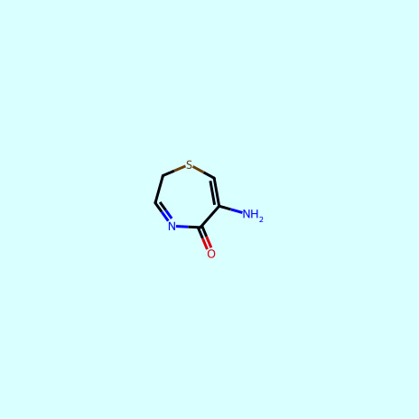 NC1=CSCC=NC1=O